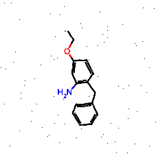 [CH2]COc1ccc(Cc2ccccc2)c(N)c1